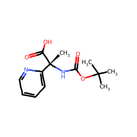 CC(C)(C)OC(=O)N[C@@](C)(C(=O)O)c1ccccn1